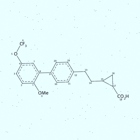 COc1ccc(OC(F)(F)F)cc1-c1ccc(CCC2CC2C(=O)O)cc1